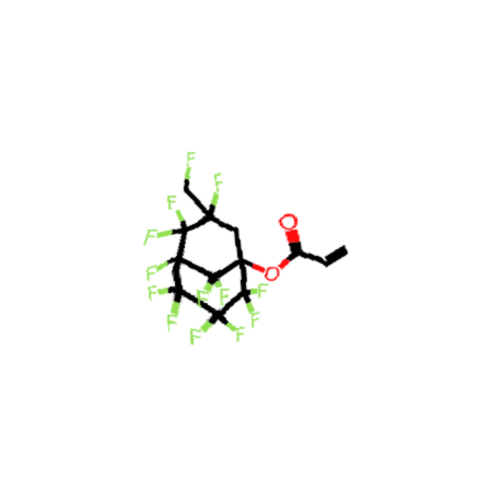 C=CC(=O)OC12CC(F)(CF)C(F)(F)C(F)(C(F)(F)C(F)(F)C1(F)F)C2(F)F